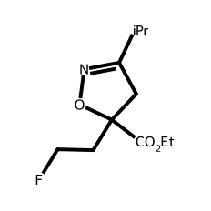 CCOC(=O)C1(CCF)CC(C(C)C)=NO1